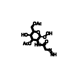 CC(=O)OCC1O[C@H](OO)C(NC(=O)CN=N)C(OC(C)=O)[C@H]1O